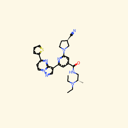 CCN(CC)[C@@H](C)CNC(=O)c1cc(-c2cnn3ccc(-c4cccs4)nc23)nc(N2CC[C@@H](C#N)C2)c1